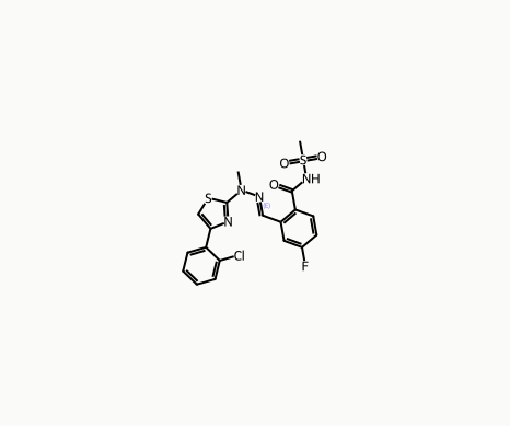 CN(/N=C/c1cc(F)ccc1C(=O)NS(C)(=O)=O)c1nc(-c2ccccc2Cl)cs1